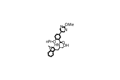 CCCOc1ccc(-c2cnc(OC)nc2)cc1C(=O)N[C@@H](CO)Cc1cn(C)c2ccccc12